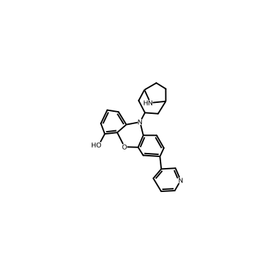 Oc1cccc2c1Oc1cc(-c3cccnc3)ccc1N2C1CC2CCC(C1)N2